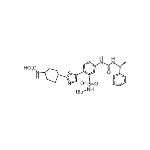 C[C@H](NC(=O)Nc1ccc(-c2cnc(C3CCC(NC(=O)O)CC3)s2)c(S(=O)(=O)NC(C)(C)C)c1)c1ccccc1